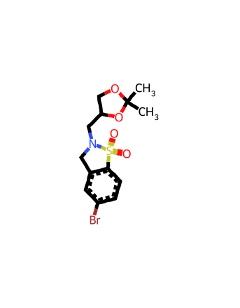 CC1(C)OCC(CN2Cc3cc(Br)ccc3S2(=O)=O)O1